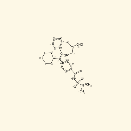 CN(C)S(=O)(=O)NC(=O)c1ccc2c(C3CCCCC3)c3n(c2c1)CC(C=O)Cc1ccccc1-3